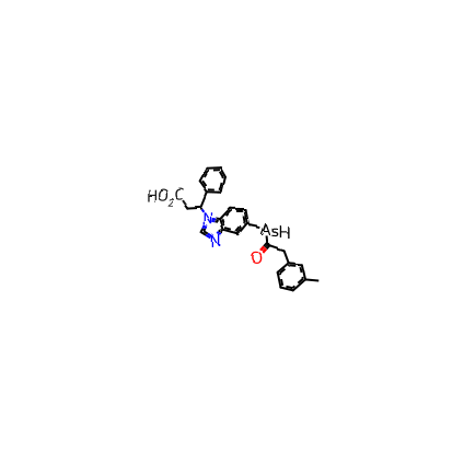 Cc1cccc(CC(=O)[AsH]c2ccc3c(c2)ncn3C(CC(=O)O)c2ccccc2)c1